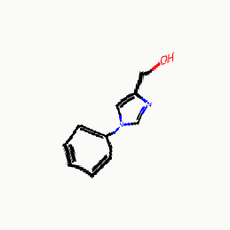 OCc1cn(-c2cc[c]cc2)cn1